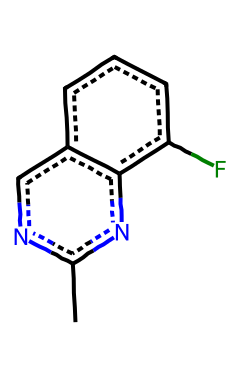 Cc1ncc2cccc(F)c2n1